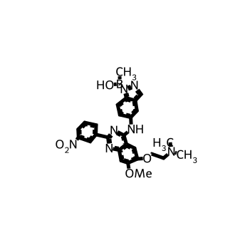 COc1cc2nc(-c3cccc([N+](=O)[O-])c3)nc(Nc3ccc4c(cnn4B(C)O)c3)c2cc1OCCN(C)C